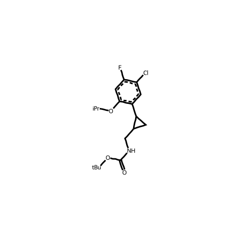 CC(C)Oc1cc(F)c(Cl)cc1C1CC1CNC(=O)OC(C)(C)C